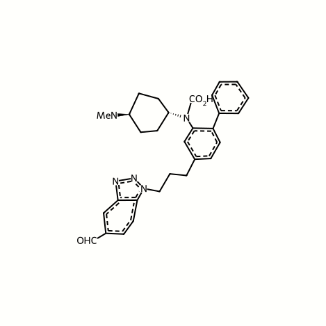 CN[C@H]1CC[C@H](N(C(=O)O)c2cc(CCCn3nnc4cc(C=O)ccc43)ccc2-c2ccccc2)CC1